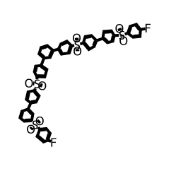 O=S(=O)(c1ccc(F)cc1)c1ccc(-c2ccc(S(=O)(=O)c3ccc(-c4cccc(-c5ccc(S(=O)(=O)c6ccc(-c7cccc(S(=O)(=O)c8ccc(F)cc8)c7)cc6)cc5)c4)cc3)cc2)cc1